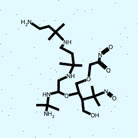 CC(C)(N)NC(CNC(C)(C)CCNC(C)(C)CCN)OC(COCC(=O)N=O)C(CO)C(C)(C)N=O